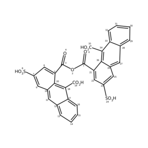 O=C(OC(=O)c1cc(S(=O)(=O)O)cc2cc3ccccc3c(C(=O)O)c12)c1cc(S(=O)(=O)O)cc2cc3ccccc3c(C(=O)O)c12